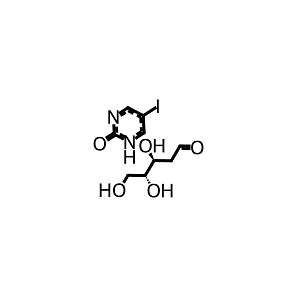 O=CC[C@H](O)[C@H](O)CO.O=c1ncc(I)c[nH]1